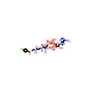 CC(C)(COP(=O)(O)OP(=O)(O)OC[C@H]1O[C@@H](n2cnc3c(N)ncnc32)[C@H](O)[C@@H]1OP(=O)(O)O)[C@@H](O)C(=O)NCCC(=O)NCCSC(=O)c1ccc(Cl)cc1